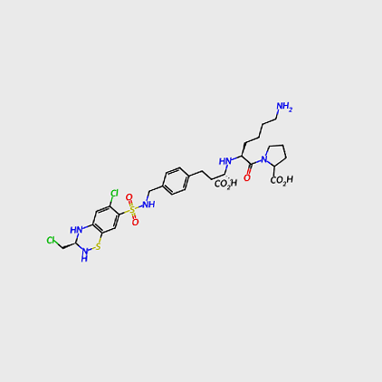 NCCCC[C@H](N[C@@H](CCc1ccc(CNS(=O)(=O)c2cc3c(cc2Cl)N[C@H](CCl)NS3)cc1)C(=O)O)C(=O)N1CCCC1C(=O)O